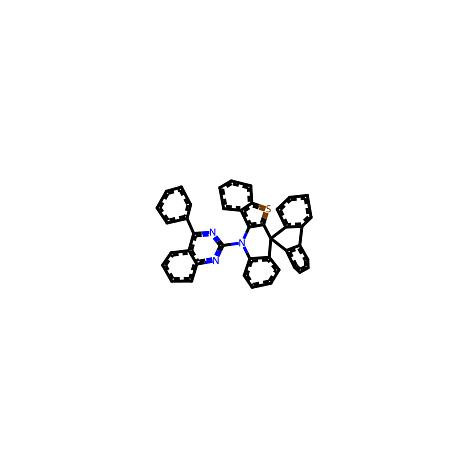 c1ccc(-c2nc(N3c4ccccc4C4(c5ccccc5-c5ccccc54)c4sc5ccccc5c43)nc3ccccc23)cc1